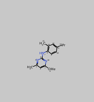 COc1cc(C)nc(Nc2ccc(C(C)C)cc2C)n1